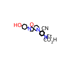 CCN(C(=O)O)c1ccc(N2CCC[C@]3(CCN(C4CCC(O)CC4)C3=O)C2)c(C#N)c1